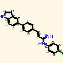 N=C(/C=C/c1ccc(-c2ccc3[nH]ccc3c2)cc1)Nc1ccc(Cl)cc1